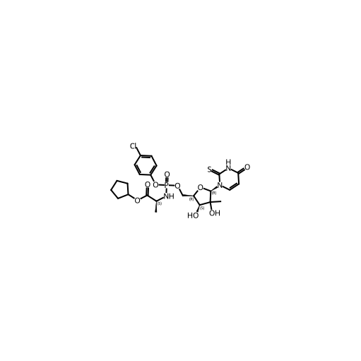 C[C@H](NP(=O)(OC[C@H]1O[C@@H](n2ccc(=O)[nH]c2=S)C(C)(O)[C@H]1O)Oc1ccc(Cl)cc1)C(=O)OC1CCCC1